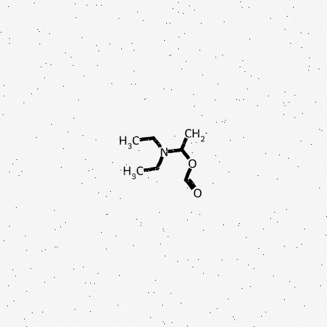 [CH2]C(OC=O)N(CC)CC